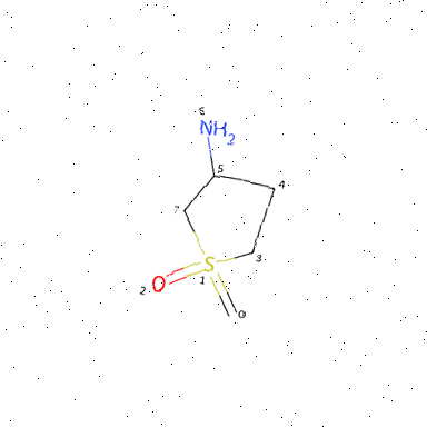 C=S1(=O)CCC(N)C1